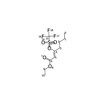 CCCCC(=CC(=O)OCC)OS(=O)(=O)C(F)(F)F